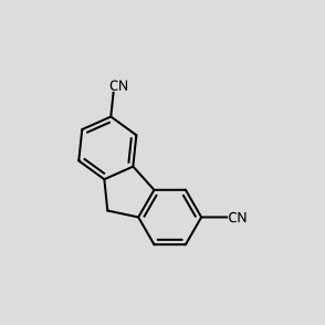 N#Cc1ccc2c(c1)-c1cc(C#N)ccc1C2